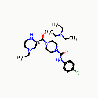 CCN(CC)CC.CCN1CCN[C@@H](C(=O)N2CCN(C(=O)Nc3ccc(Cl)cc3)CC2)C1